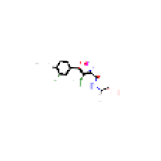 CCC(CO)NC(=O)c1noc(-c2ccc(C(F)(F)F)c(F)c2)c1Cl